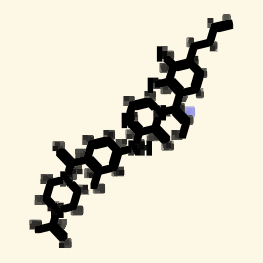 C=CCCc1ccc(/C(=C/C)N2C=CN=C(Nc3ccc(C(=C)N4CCN(C(=C)C)CC4)c(C)c3)C2=C)c(F)c1F